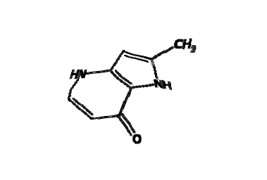 Cc1cc2[nH]ccc(=O)c2[nH]1